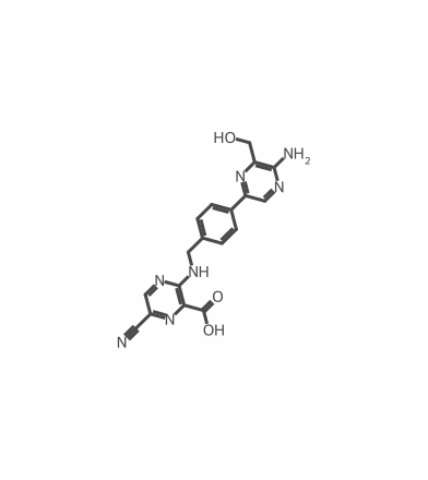 N#Cc1cnc(NCc2ccc(-c3cnc(N)c(CO)n3)cc2)c(C(=O)O)n1